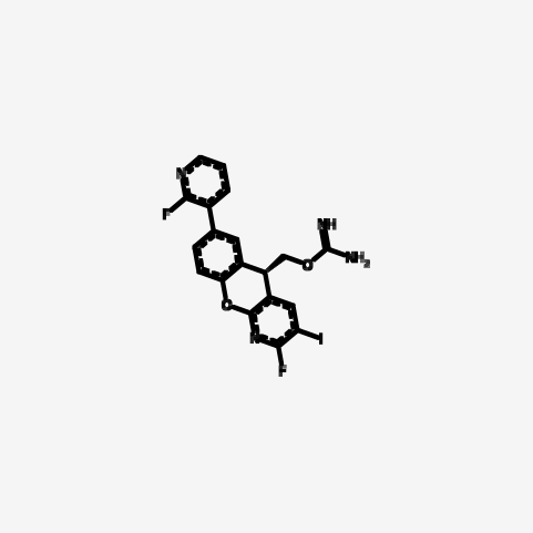 N=C(N)OC[C@@H]1c2cc(-c3cccnc3F)ccc2Oc2nc(F)c(I)cc21